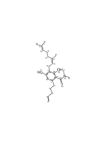 CCCCCc1cc(O)c(CC=C(C)CCC=C(C)C)c(O)c1C(=O)N(C)C